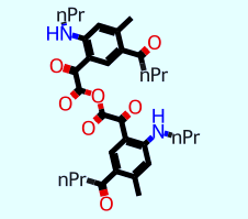 CCCNc1cc(C)c(C(=O)CCC)cc1C(=O)C(=O)OC(=O)C(=O)c1cc(C(=O)CCC)c(C)cc1NCCC